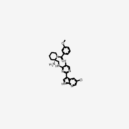 COc1cccc(C(=O)N2CCCC[C@]2(N)CNc2nc(-c3c[nH]c4ncc(Cl)cc34)ncc2F)c1